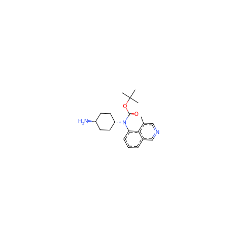 Cc1cncc2cccc(N(C(=O)OC(C)(C)C)[C@H]3CC[C@H](N)CC3)c12